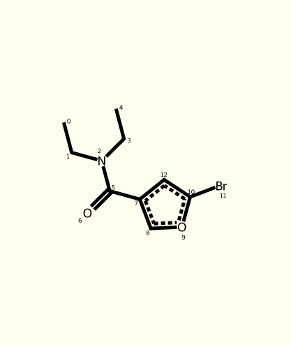 CCN(CC)C(=O)c1coc(Br)c1